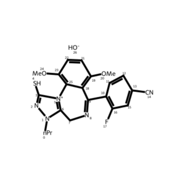 CCCn1nc(S)[n+]2c1CN=C(c1ccc(C#N)cc1F)c1c(OC)ccc(OC)c1-2.[OH-]